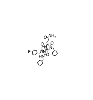 NC(=O)CC[C@H]1C(=O)N(Cc2ccccc2)C[C@H]2N1C(=O)CN(Cc1ccc(F)cc1)N2C(=O)NCc1ccccc1